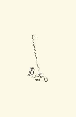 CCCCCCCCCCCCCCCCCCOCCOP(=O)(COC(CO)Cn1ccc(N)nc1=O)OCc1ccccc1